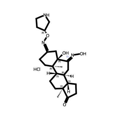 C[C@]12CC[C@H]3[C@@H](C/C(=N\O)[C@@]4(O)CC(=NO[C@@H]5CCNC5)CC[C@]34C)[C@@H]1CCC2=O.Cl